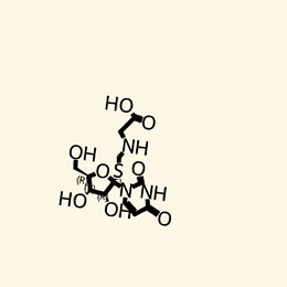 O=C(O)CNCS[C@@]1(n2ccc(=O)[nH]c2=O)O[C@H](CO)[C@@H](O)[C@H]1O